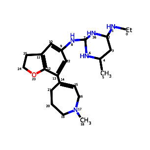 CCNC1CC(C)NC(Nc2cc3c(c(C4=CCN(C)CCC4)c2)OCC3)N1